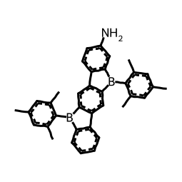 Cc1cc(C)c(B2c3ccccc3-c3cc4c(cc32)-c2ccc(N)cc2B4c2c(C)cc(C)cc2C)c(C)c1